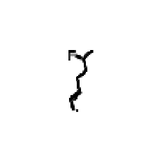 [CH2]C=CCCC(C)F